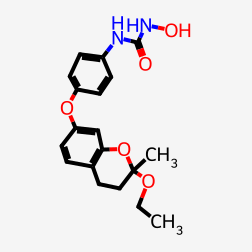 CCOC1(C)CCc2ccc(Oc3ccc(NC(=O)NO)cc3)cc2O1